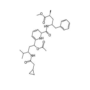 COC(=O)[C@@H](C)CC(Cc1ccccc1)NC(=O)C1C=CC=C(C(CC(NC(=O)CC2CC2)C(C)C)OC(C)=O)N1